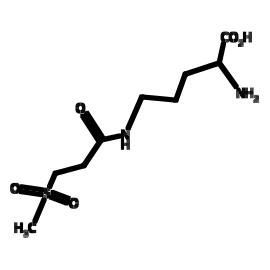 CS(=O)(=O)CCC(=O)NCCCC(N)C(=O)O